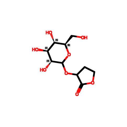 O=C1OCCC1OC1O[C@H](CO)[C@@H](O)[C@H](O)[C@H]1O